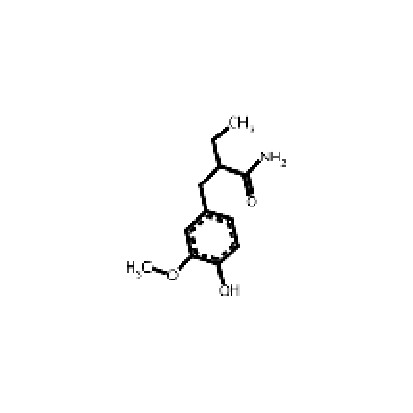 CCC(Cc1ccc(O)c(OC)c1)C(N)=O